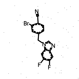 N#Cc1ccc(Cn2cnc3cc(F)c(F)cc32)cc1Br